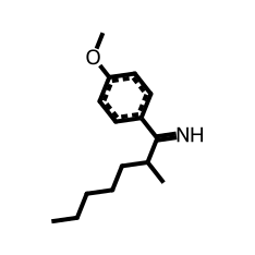 CCCCCC(C)C(=N)c1ccc(OC)cc1